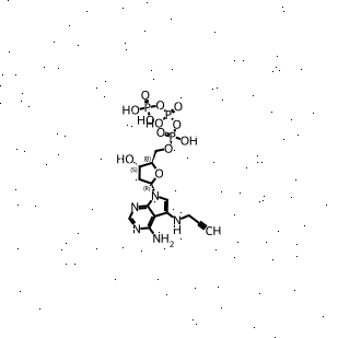 C#CCNc1cn([C@H]2C[C@H](O)[C@@H](COP(=O)(O)OP(=O)(O)OP(=O)(O)O)O2)c2ncnc(N)c12